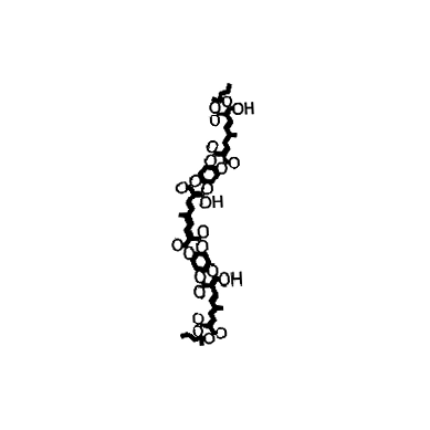 CCCC1(C)OC(=O)C(=C/C=C(C)/C=C/C2=C(O)OC3(CCC4(CC3)OC(=O)C(=C/C=C(C)/C=C/C3=C(O)OC5(CCC6(CC5)OC(=O)C(=C/C=C(C)/C=C/C5=C(O)OC(C)(CCC)OC5=O)C(=O)O6)OC3=O)C(=O)O4)OC2=O)C(=O)O1